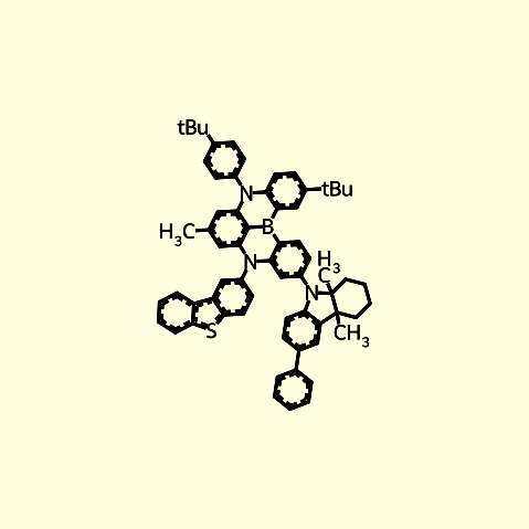 Cc1cc2c3c(c1)N(c1ccc4sc5ccccc5c4c1)c1cc(N4c5ccc(-c6ccccc6)cc5C5(C)CCCCC45C)ccc1B3c1cc(C(C)(C)C)ccc1N2c1ccc(C(C)(C)C)cc1